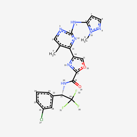 Cc1cnc(Nc2ccnn2C)nc1-c1coc(C(=O)N[C@@H](c2cccc(Cl)c2)C(F)(F)F)n1